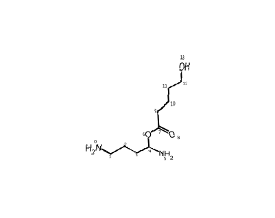 NCCCC(N)OC(=O)CCCCO